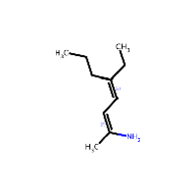 CCC/C(=C\C=C(\C)N)CC